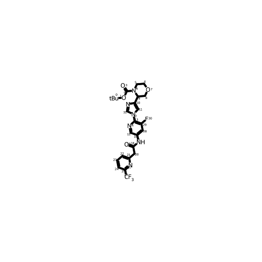 CC(C)(C)OC(=O)N1CCOCC1c1cn(-c2ncc(NC(=O)Cc3cccc(C(F)(F)F)n3)cc2F)cn1